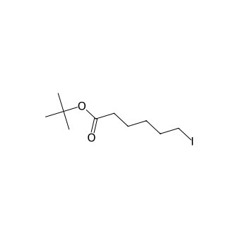 CC(C)(C)OC(=O)CCCCCI